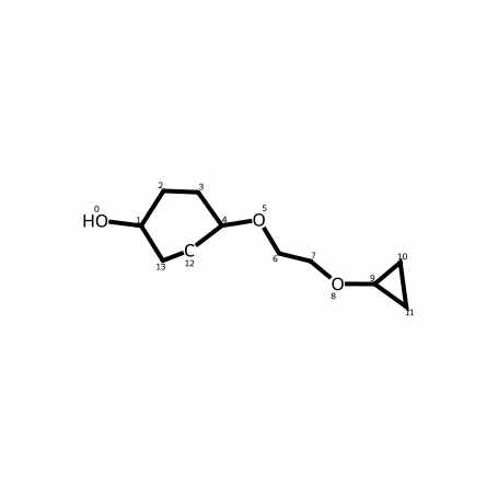 OC1CCC(OCCOC2CC2)CC1